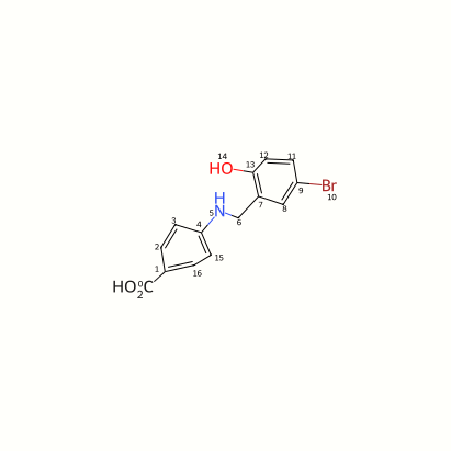 O=C(O)c1ccc(NCc2cc(Br)ccc2O)cc1